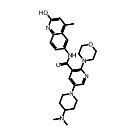 Cc1cc(O)nc2ccc(NC(=O)c3cc(N4CCC(N(C)C)CC4)cnc3N3CCOCC3)cc12